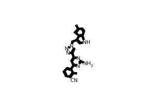 Cc1ccc2[nH]cc(Cn3cc(-c4cc(-c5cccc(C#N)c5C)nc(N)n4)nn3)c2c1